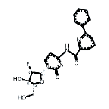 O=C(Nc1ccn([C@@H]2O[C@H](CO)[C@@H](O)[C@H]2F)c(=O)n1)c1cccc(-c2ccccc2)n1